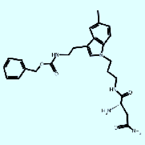 Cc1ccc2c(c1)c(CCNC(=O)OCc1ccccc1)cn2CCCNC(=O)[C@@H](N)CC(N)=O